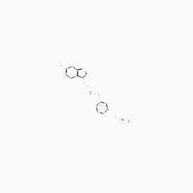 FC(F)(F)C(F)(F)COc1cccc(CNCCc2c[nH]c3cc(Cl)ccc23)c1